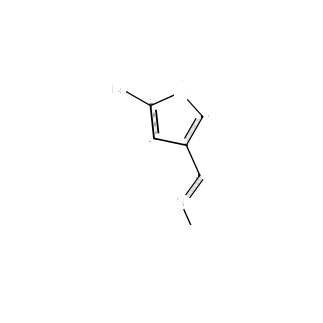 O/N=C/c1coc(Br)c1